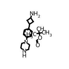 CC(C)(C)OC=O.NC1CC(c2ccc(N3CCNCC3)cc2)C1